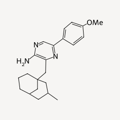 COc1ccc(-c2cnc(N)c(CC34CCCC(CC(C)C3)C4)n2)cc1